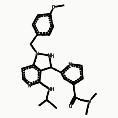 COc1ccc(CN2NC(c3cc(C(=O)N(C)C)ccn3)c3c2ccnc3NC(C)C)cc1